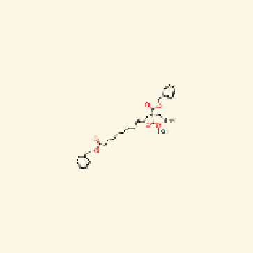 CCCCCCCCCCC[C@@](CC=CCCCCCCCC(=O)OCc1ccccc1)(C(=O)OCc1ccccc1)C(=O)OC(C)(C)C